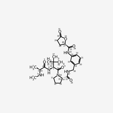 CN[C@@H](C)C(=O)N[C@H](C(=O)N1CCC[C@H]1C(=O)NCc1cccc(NC(=O)[C@H]2CCC(=O)O2)c1)C(C)(C)C